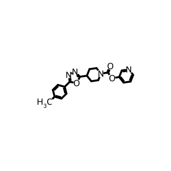 Cc1ccc(-c2nnc(C3CCN(C(=O)Oc4cccnc4)CC3)o2)cc1